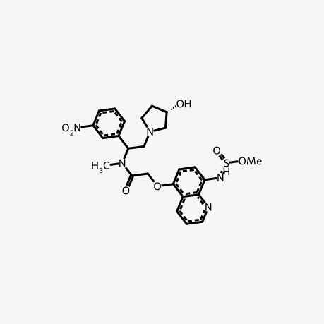 CO[SH](=O)=Nc1ccc(OCC(=O)N(C)C(CN2CC[C@H](O)C2)c2cccc([N+](=O)[O-])c2)c2cccnc12